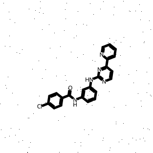 O=C(Nc1cccc(Nc2nccc(-c3ccccn3)n2)c1)c1ccc(Cl)cc1